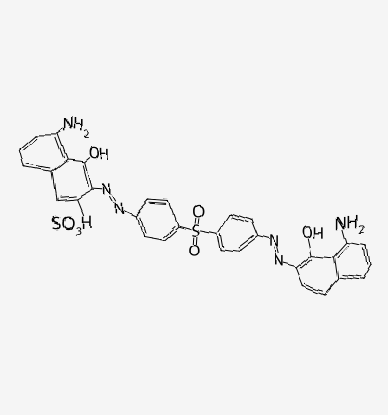 Nc1cccc2ccc(N=Nc3ccc(S(=O)(=O)c4ccc(N=Nc5c(S(=O)(=O)O)cc6cccc(N)c6c5O)cc4)cc3)c(O)c12